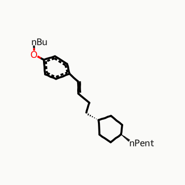 CCCCC[C@H]1CC[C@H](CCC=Cc2ccc(OCCCC)cc2)CC1